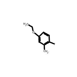 [CH2]c1cc(OCC)ccc1I